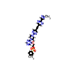 Cc1ccc(S(=O)(=O)OCCOC[C@H]2CN(c3ncc(C#Cc4cnc(-c5cnn(C)c5)nc4)cn3)CCN2c2ncncn2)cc1